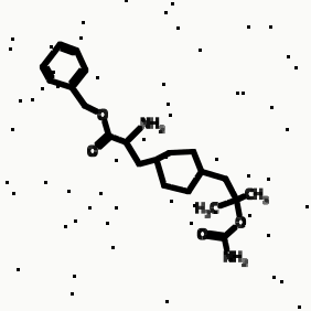 CC(C)(CC1CCC(CC(N)C(=O)OCc2ccccc2)CC1)OC(N)=O